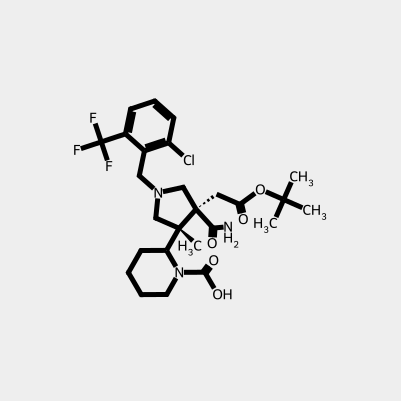 CC(C)(C)OC(=O)C[C@@]1(C(N)=O)CN(Cc2c(Cl)cccc2C(F)(F)F)C[C@@]1(C)C1CCCCN1C(=O)O